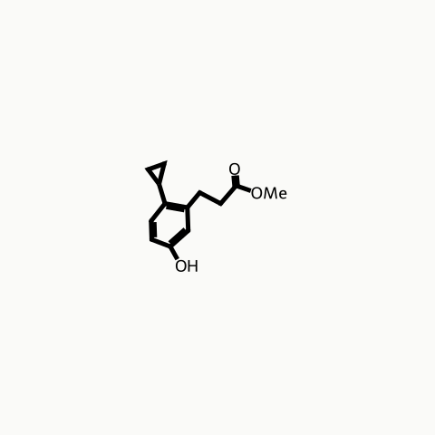 COC(=O)CCc1cc(O)ccc1C1CC1